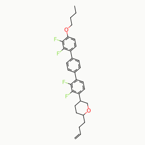 C=CCCC1CCC(c2ccc(-c3ccc(-c4ccc(OCCCC)c(F)c4F)cc3)c(F)c2F)CO1